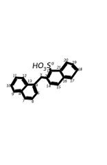 O=S(=O)(O)c1c(Cc2cccc3ccccc23)ccc2ccccc12